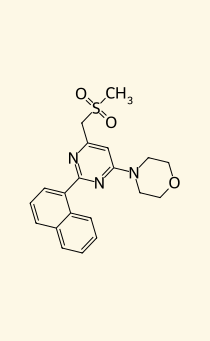 CS(=O)(=O)Cc1cc(N2CCOCC2)nc(-c2cccc3ccccc23)n1